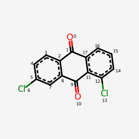 O=C1c2ccc(Cl)cc2C(=O)c2c(Cl)cccc21